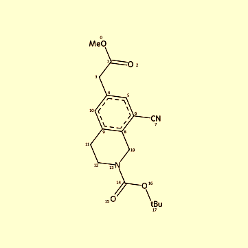 COC(=O)Cc1cc(C#N)c2c(c1)CCN(C(=O)OC(C)(C)C)C2